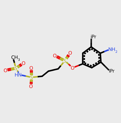 CC(C)c1cc(OS(=O)(=O)CCCS(=O)(=O)NS(C)(=O)=O)cc(C(C)C)c1N